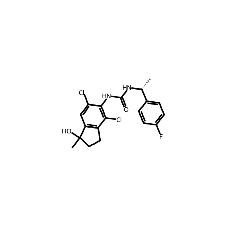 C[C@@H](NC(=O)Nc1c(Cl)cc2c(c1Cl)CCC2(C)O)c1ccc(F)cc1